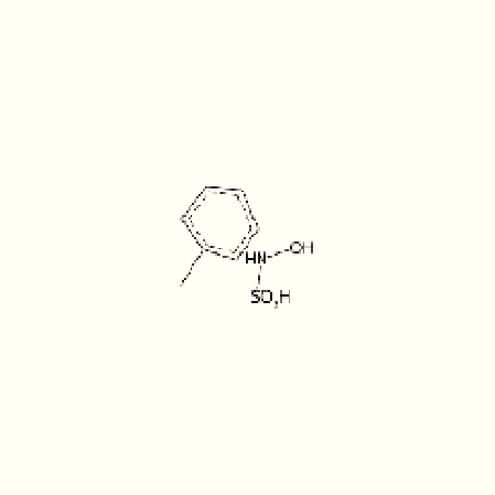 Cc1ccccc1.O=S(=O)(O)NO